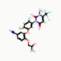 CC(=O)COc1ccc(C#N)cc1Oc1cc(-n2c(=O)cc(C(F)(F)F)n(C)c2=O)c(F)cc1Br